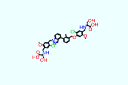 COc1cc(Cn2ncc3c(-c4cccc(COc5cc(OC)c(CN[C@@H](CO)C(=O)O)cc5Cl)c4C)cccc32)c(Cl)cc1CN[C@@H](CO)C(=O)O